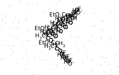 CCOC(=O)C(C)[S+](C)c1ccc2ccccc2c1.CCOC(=O)C(C)[S+](C)c1ccc2ccccc2c1.CCOC(=O)C(C)[S+](C)c1ccc2ccccc2c1.CCOC(=O)C(C)[S+](C)c1ccc2ccccc2c1.CCOC(=O)C(C)[S+](C)c1ccc2ccccc2c1.CCOC(=O)C(C)[S+](C)c1ccc2ccccc2c1.O=[PH]([O-])F.O=[PH]([O-])F.O=[PH]([O-])F.O=[PH]([O-])F.O=[PH]([O-])F.O=[PH]([O-])F